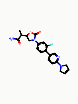 CC(C(N)=O)C1CN(c2ccc(-c3ccc(N4CC=CC4)nc3)c(F)c2)C(=O)O1